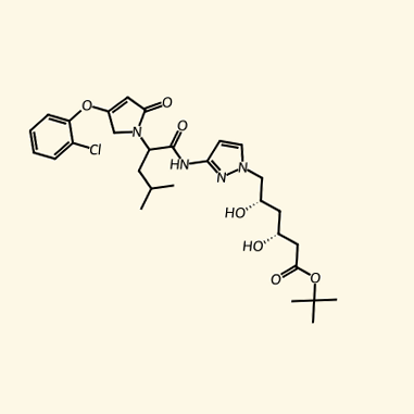 CC(C)CC(C(=O)Nc1ccn(C[C@@H](O)C[C@@H](O)CC(=O)OC(C)(C)C)n1)N1CC(Oc2ccccc2Cl)=CC1=O